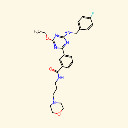 O=C(NCCCN1CCOCC1)c1cccc(-c2nc(NCc3ccc(F)cc3)nc(OCC(F)(F)F)n2)c1